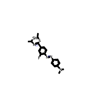 CCS/C(=N\C(C)S)c1ccc(/N=N/c2ccc(N(C)C)cc2)c(F)c1